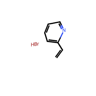 Br.C=Cc1ccccn1